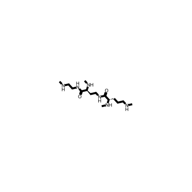 CNCCC[C@H](NC)C(=O)NCC[C@H](NC)C(=O)NCCNC